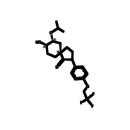 CC(C)O[C@@H]1C[C@@]2(CC[C@H]1O)CCN(c1ccc(OCC(F)(F)F)cc1)C2=O